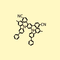 Cc1ccc2c(c1)c1cc(-c3ccccc3)ccc1n2-c1cc(-n2c3ccc(C)cc3c3cc(-c4ccccc4)ccc32)c(-c2ccc(C#N)cc2)cc1-c1ccc(C#N)cc1